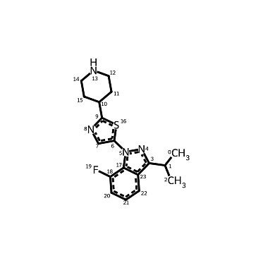 CC(C)c1nn(-c2cnc(C3CCNCC3)s2)c2c(F)cccc12